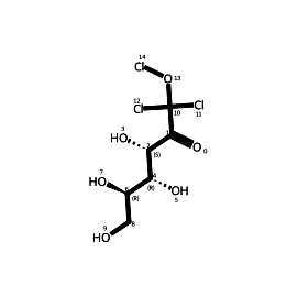 O=C([C@@H](O)[C@H](O)[C@H](O)CO)C(Cl)(Cl)OCl